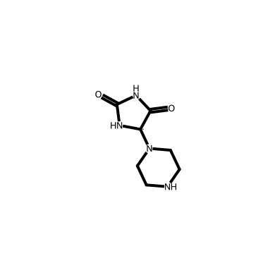 O=C1N[C](N2CCNCC2)C(=O)N1